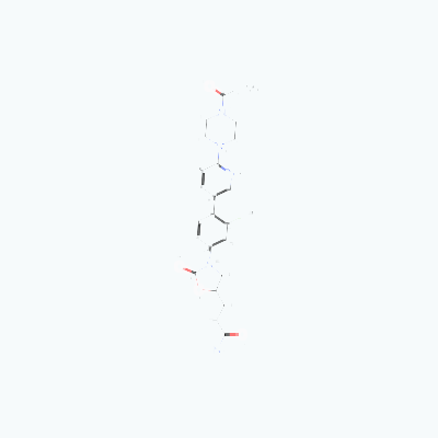 COC(=O)N1CCN(c2ccc(-c3ccc(N4CC(CCC(N)=O)OC4=O)cc3F)cn2)CC1